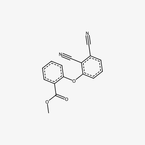 COC(=O)c1ccccc1Oc1cccc(C#N)c1C#N